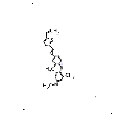 C=Cc1ccc(C=NC2=CC(=C)/C(=N\c3ccc(N=C)cc3C)C=C2)s1